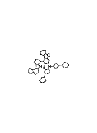 c1ccc(-c2ccc(N3c4ccc(-c5ccccc5)cc4B4c5c3cc3oc6ccccc6c3c5-c3cccc5c6c7ccccc7ccc6n4c35)cc2)cc1